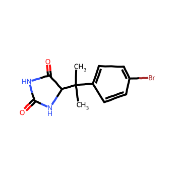 CC(C)(c1ccc(Br)cc1)C1NC(=O)NC1=O